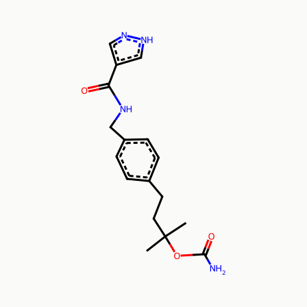 CC(C)(CCc1ccc(CNC(=O)c2cn[nH]c2)cc1)OC(N)=O